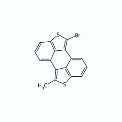 Cc1sc2cccc3c4c(Br)sc5cccc(c1c23)c54